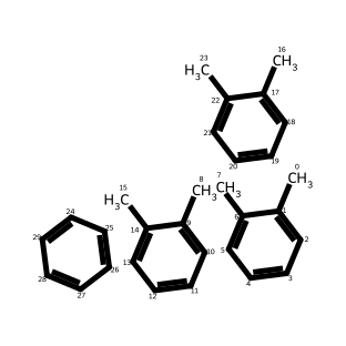 Cc1ccccc1C.Cc1ccccc1C.Cc1ccccc1C.c1ccccc1